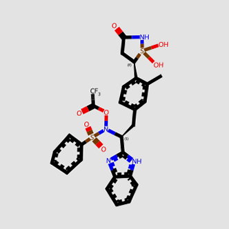 Cc1cc(C[C@@H](c2nc3ccccc3[nH]2)N(OC(=O)C(F)(F)F)S(=O)(=O)c2ccccc2)ccc1[C@H]1CC(=O)NS1(O)O